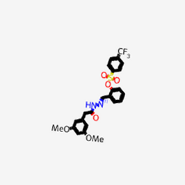 COc1cc(CC(=O)N/N=C/c2ccccc2OS(=O)(=O)c2ccc(C(F)(F)F)cc2)cc(OC)c1